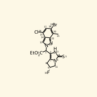 CCOC(=O)C(c1[nH]c(=S)n2c1C[C@@H](F)C2)n1cc2c(Cl)cc(Br)c(C)c2n1